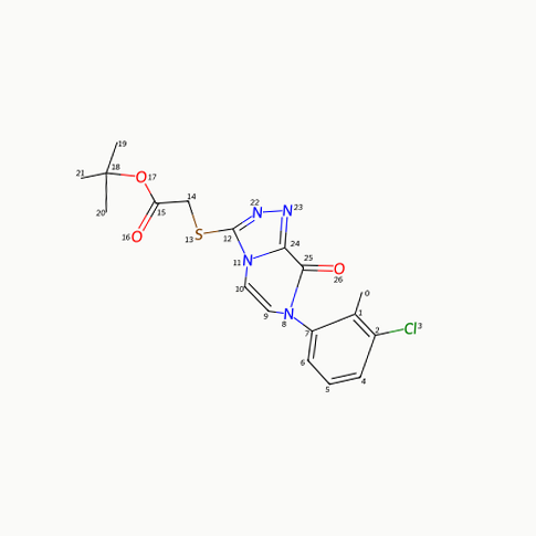 Cc1c(Cl)cccc1-n1ccn2c(SCC(=O)OC(C)(C)C)nnc2c1=O